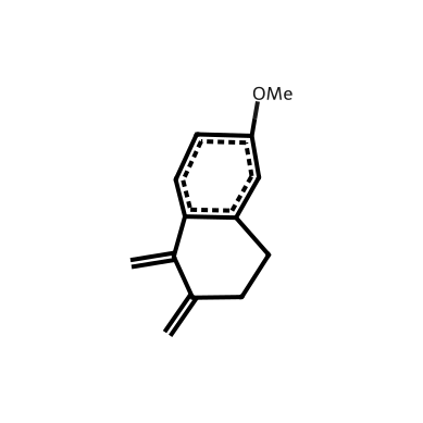 C=C1CCc2cc(OC)ccc2C1=C